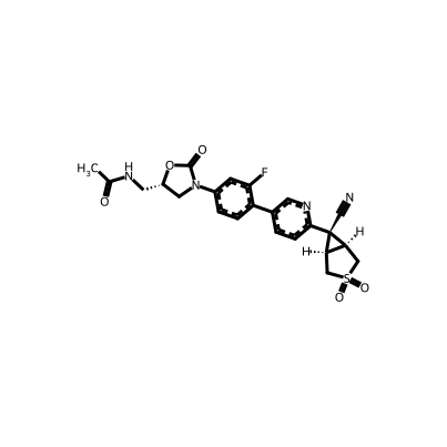 CC(=O)NC[C@H]1CN(c2ccc(-c3ccc([C@@]4(C#N)[C@@H]5CS(=O)(=O)C[C@@H]54)nc3)c(F)c2)C(=O)O1